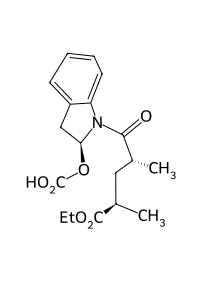 CCOC(=O)[C@H](C)C[C@@H](C)C(=O)N1c2ccccc2C[C@@H]1OC(=O)O